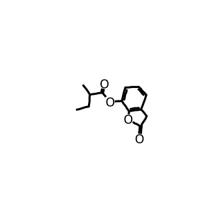 CCC(C)C(=O)Oc1cccc2c1OC(=O)C2